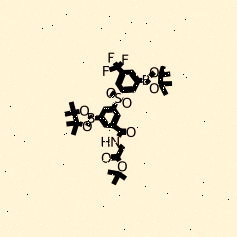 CC(C)(C)OC(=O)CNC(=O)c1cc(B2OC(C)(C)C(C)(C)O2)cc(S(=O)(=O)c2cc(B3OC(C)(C)C(C)(C)O3)cc(C(F)(F)F)c2)c1